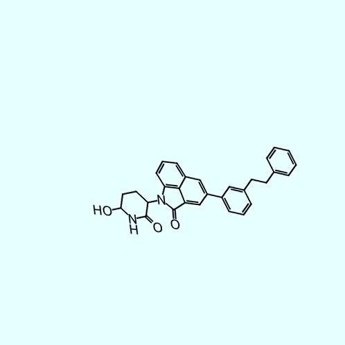 O=C1NC(O)CCC1N1C(=O)c2cc(-c3cccc(CCc4ccccc4)c3)cc3cccc1c23